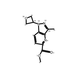 COC(=O)c1ccc2c(n1)c(C)nn2C1COC1